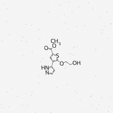 COC(=O)c1cc(-c2ccn[nH]2)c(OCCO)s1